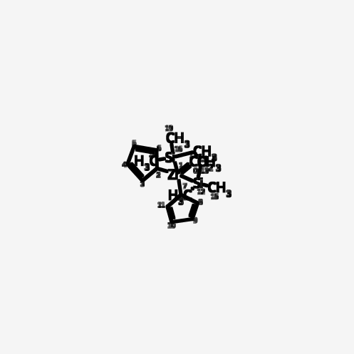 [CH2]=[Zr]([CH]1C=CC=C1)([CH]1C=CC=C1)([Si](C)(C)C)[Si](C)(C)C